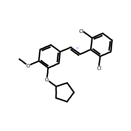 COc1ccc(/C=C/c2c(Cl)cccc2Cl)cc1OC1CCCC1